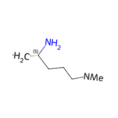 [CH2][C@H](N)CCCNC